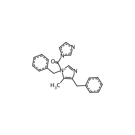 CC1=C(Cc2ccccc2)N=C[N+]1(Cc1ccccc1)C(=O)n1ccnc1